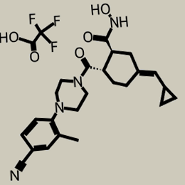 Cc1cc(C#N)ccc1N1CCN(C(=O)[C@H]2CC/C(=C\C3CC3)C[C@@H]2C(=O)NO)CC1.O=C(O)C(F)(F)F